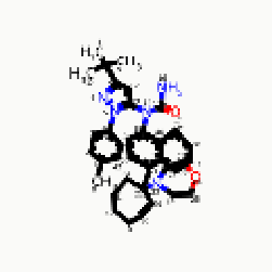 Cc1ccc(-n2nc(C(C)(C)C)cc2N(C(N)=O)c2ccc(C3(N4CCOCC4)C=CCCCC3)c3ccccc23)cc1